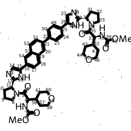 COC(=O)NC(C(=O)N1CCC[C@H]1c1ncc(-c2ccc3cc(-c4ccc(-c5cnc([C@@H]6CCCN6C(=O)[C@@H](NC(=O)OC)C6CCOCC6)[nH]5)cc4)ccc3c2)[nH]1)C1CCOCC1